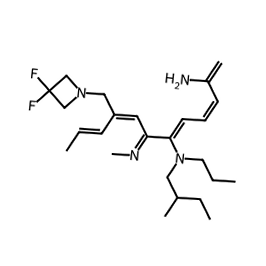 C=C(N)\C=C/C=C(C(/C=C(\C=C\C)CN1CC(F)(F)C1)=N/C)\N(CCC)CC(C)CC